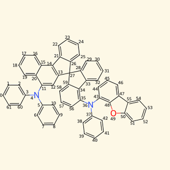 c1ccc(N(c2ccccc2)c2cc3c(c4ccccc24)-c2ccccc2C32c3ccccc3-c3c(N(c4ccccc4)c4cccc5c4oc4ccccc45)cccc32)cc1